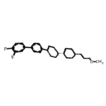 COCCC[C@H]1CC[C@H](C2CCC(c3ccc(-c4ccc(F)c(F)c4)cc3)CC2)CC1